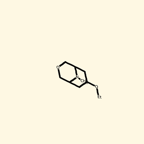 CCOC1CC2COCC(C1)N2C